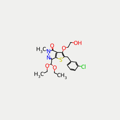 CCOC(OCC)c1nn(C)c(=O)c2c(OCCO)c(Cc3cccc(Cl)c3)sc12